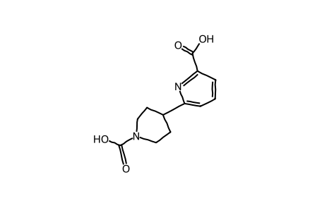 O=C(O)c1cccc(C2CCN(C(=O)O)CC2)n1